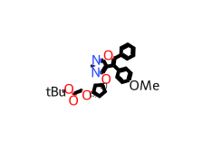 COc1ccc(-c2c(-c3ccccc3)oc3ncnc(O[C@H]4CC[C@H](OCC(=O)OC(C)(C)C)C4)c23)cc1